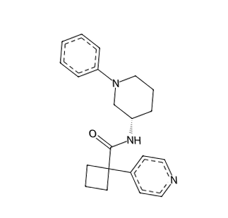 O=C(N[C@H]1CCCN(c2ccccc2)C1)C1(c2ccncc2)CCC1